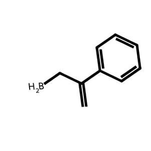 BCC(=C)c1ccccc1